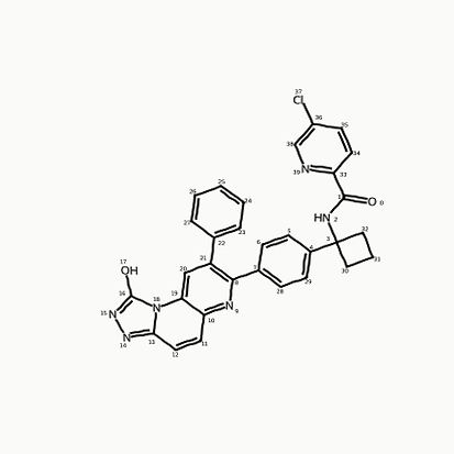 O=C(NC1(c2ccc(-c3nc4ccc5nnc(O)n5c4cc3-c3ccccc3)cc2)CCC1)c1ccc(Cl)cn1